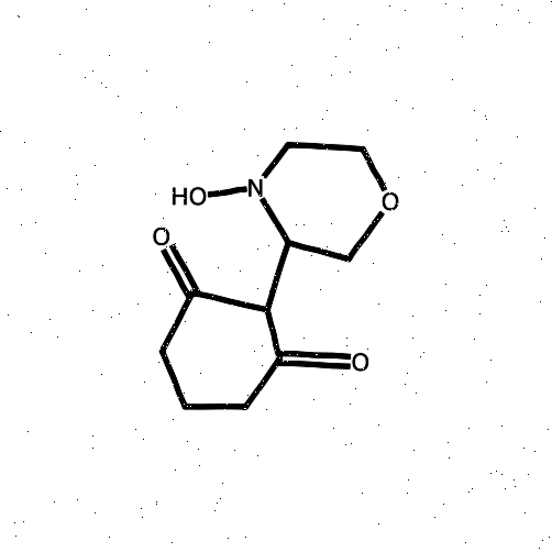 O=C1CCCC(=O)C1C1COCCN1O